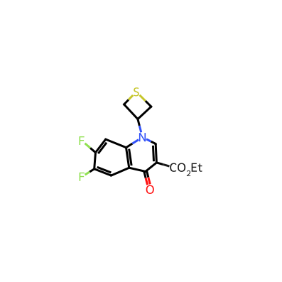 CCOC(=O)c1cn(C2CSC2)c2cc(F)c(F)cc2c1=O